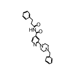 O=C(CCc1ccccc1)NC(=O)c1ccnc(N2CCN(Cc3ccccc3)CC2)c1